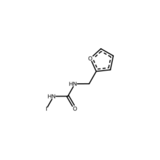 O=C(NI)NCc1ccco1